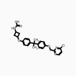 CC(C)(c1ccc(OCc2nccc(Cl)n2)cc1)c1ccc(OC2CC(NC(=O)O)C2)cc1